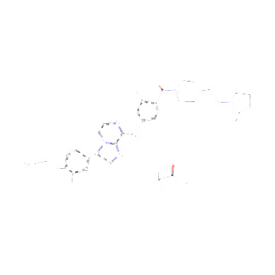 N#CCOc1ccc(-c2cnc3c(Nc4ccc(C(=O)N5CCN(CCN6CCC[C@H]6C(=O)O)CC5)c(Cl)c4)nccn23)c(F)c1F.O=C(O)C(F)(F)F